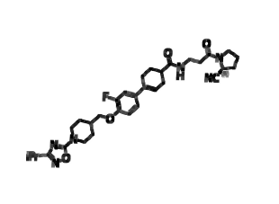 CC(C)c1noc(N2CCC(COc3ccc(C4=CCC(C(=O)NCCC(=O)N5CCC[C@H]5C#N)CC4)cc3F)CC2)n1